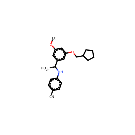 CCOc1cc(OCC2CCCC2)cc(C(Nc2ccc(C#N)cc2)C(=O)O)c1